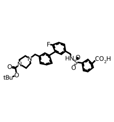 CC(C)(C)OC(=O)N1CCN(Cc2cccc(-c3cc(CNS(=O)(=O)c4cccc(C(=O)O)c4)ccc3F)c2)CC1